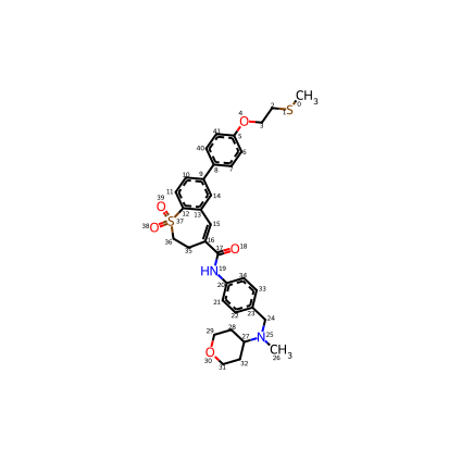 CSCCOc1ccc(-c2ccc3c(c2)C=C(C(=O)Nc2ccc(CN(C)C4CCOCC4)cc2)CCS3(=O)=O)cc1